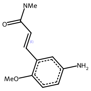 CNC(=O)/C=C/c1cc(N)ccc1OC